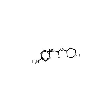 Nc1ccc(NC(=O)OC2CCNCC2)nc1